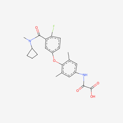 Cc1cc(NC(=O)C(=O)O)cc(C)c1Oc1ccc(F)c(C(=O)N(C)C2CCC2)c1